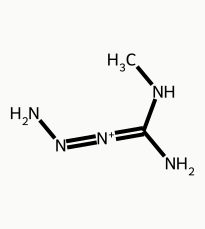 CNC(N)=[N+]=NN